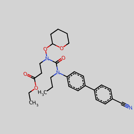 CCCN(C(=O)N(CCC(=O)OCC)OC1CCCCO1)c1ccc(-c2ccc(C#N)cc2)cc1